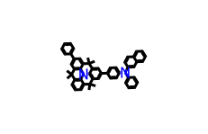 CC1(C)c2cccc3c2N2c4c1cc(-c1ccccc1)cc4C(C)(C)c1cc(-c4ccc(N(c5ccccc5)c5ccc6ccccc6c5)cc4)cc(c12)C3(C)C